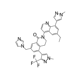 CCc1cc(-c2cnn(C)c2)c2nccc(N3CCc4c(cc(Cn5ccnc5)cc4-c4cn(C)nc4C(F)(F)F)C3=O)c2c1